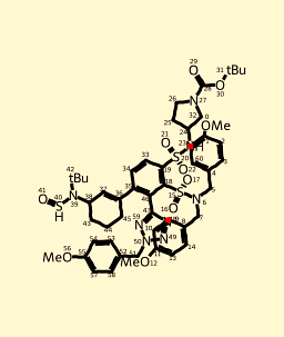 COc1ccc(CN(Cc2ccc(OC)cc2)S(=O)(=O)c2c(S(=O)(=O)NC3CCN(C(=O)OC(C)(C)C)C3)ccc(C3=CC(N([SH]=O)C(C)(C)C)CCC3)c2-c2nnn(Cc3ccc(OC)cc3)n2)cc1